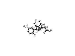 C[C@]1(c2cc(N)ccc2F)N=C(NC(=O)O)[C@@H]2CCC[C@H]1S2(O)O